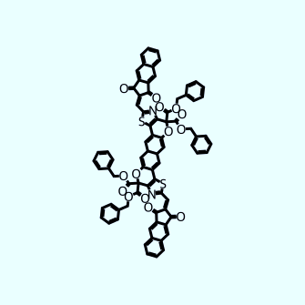 O=C1C(=Cc2nc3c(s2)C2=CC4C=C5OC(C(=O)OCc6ccccc6)(C(=O)OCc6ccccc6)c6nc(C=C7C(=O)c8cc9ccccc9cc8C7=O)sc6C5=CC4C=C2OC3(C(=O)OCc2ccccc2)C(=O)OCc2ccccc2)C(=O)c2cc3ccccc3cc21